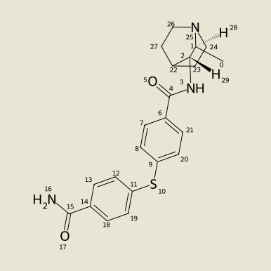 C[C@H]1[C@H](NC(=O)c2ccc(Sc3ccc(C(N)=O)cc3)cc2)C2CCN1CC2